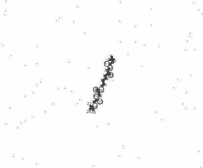 CC(C)(C)CC(=O)OCC(=O)CCCCCOC(=O)COC(=O)COC(C)(C)C